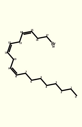 CCCCCCCC/C=C\C/C=C\C/C=C\CCBr